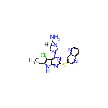 CCc1[nH]c2nc(Sc3cnc4cccnc4c3)nc(N3C[C@H]4[C@H](N)[N@@]4C3)c2c1Cl